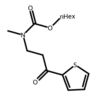 CCCCCCOC(=O)N(C)CCC(=O)c1cccs1